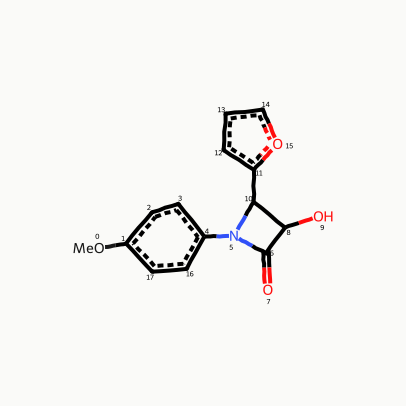 COc1ccc(N2C(=O)C(O)C2c2ccco2)cc1